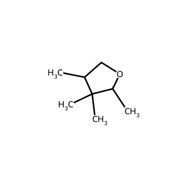 C[C]1OCC(C)C1(C)C